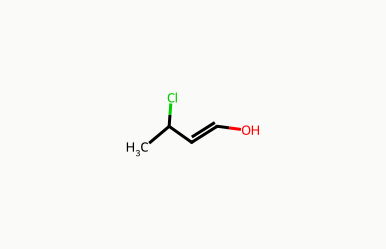 CC(Cl)C=CO